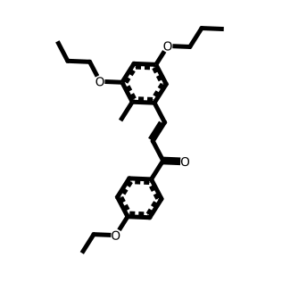 CCCOc1cc(C=CC(=O)c2ccc(OCC)cc2)c(C)c(OCCC)c1